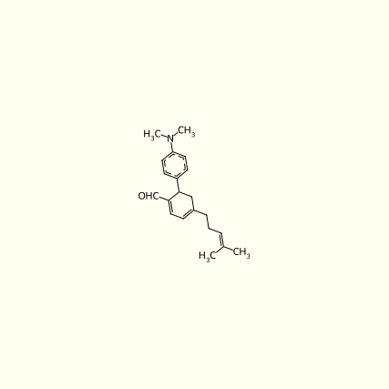 CC(C)=CCCC1=CC=C(C=O)C(c2ccc(N(C)C)cc2)C1